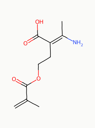 C=C(C)C(=O)OCCC(C(=O)O)=C(C)N